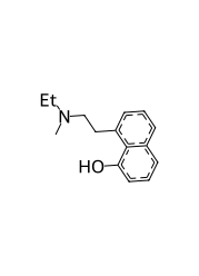 CCN(C)CCc1cccc2cccc(O)c12